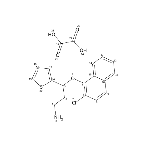 NCCC(Oc1c(Cl)ccc2ccccc12)c1cncs1.O=C(O)C(=O)O